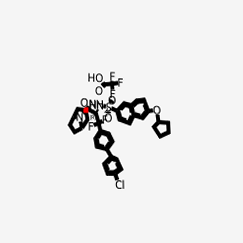 NC1CC2CCC(C1)N2C(=O)[C@@H](NS(=O)(=O)c1ccc2cc(OC3CCCC3)ccc2c1)C(F)(F)c1ccc(-c2ccc(Cl)cc2)cc1.O=C(O)C(F)(F)F